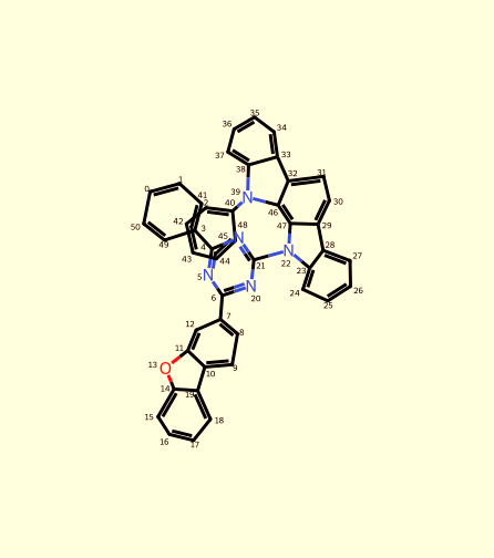 c1ccc(-c2nc(-c3ccc4c(c3)oc3ccccc34)nc(-n3c4ccccc4c4ccc5c6ccccc6n(-c6ccccc6)c5c43)n2)cc1